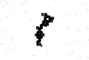 C=CCN1C[C@@H]2CN(C(=O)/C=C/c3cnc4c(c3)CN(C)CC(=O)N4)C[C@@H]2C1